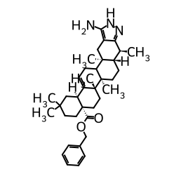 C[C@@H]1c2n[nH]c(N)c2C[C@]2(C)C3CC=C4[C@@H]5CC(C)(C)CC[C@]5(C(=O)OCc5ccccc5)CC[C@@]4(C)[C@]3(C)CC[C@@H]12